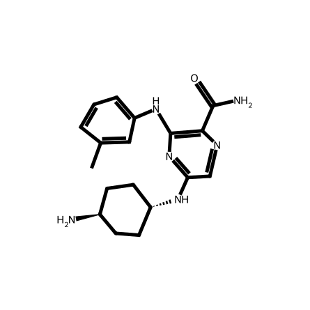 Cc1cccc(Nc2nc(N[C@H]3CC[C@H](N)CC3)cnc2C(N)=O)c1